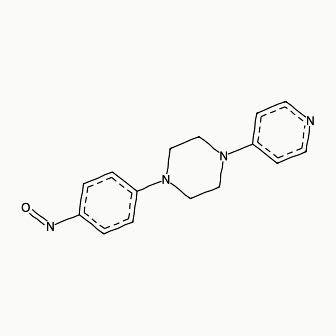 O=Nc1ccc(N2CCN(c3ccncc3)CC2)cc1